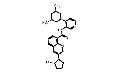 C[C@@H]1C[C@H](N)C[C@H](c2ccncc2NC(=O)c2cccc3cc(N4CCC[C@@H]4C)cnc23)C1